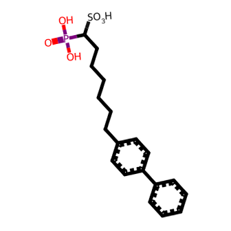 O=P(O)(O)C(CCCCCCc1ccc(-c2ccccc2)cc1)S(=O)(=O)O